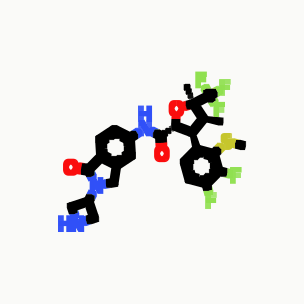 CSc1c([C@H]2[C@H](C(=O)Nc3ccc4c(c3)CN(C3CNC3)C4=O)O[C@@](C)(C(F)(F)F)[C@H]2C)ccc(F)c1F